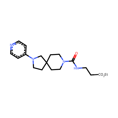 CCOC(=O)CCNC(=O)N1CCC2(CC1)CCN(c1ccncc1)C2